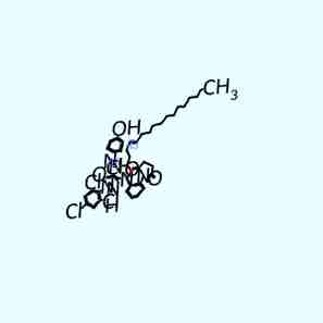 CCCCCCCCCCCC/C=C/CCC(Cl)CN(c1ccccc1N1C(=O)CCC1=O)c1[nH]n(-c2c(Cl)cc(Cl)cc2Cl)c(=O)c1/N=N/c1ccc(O)cc1